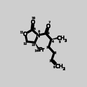 C=CCC[C@@H](C)C(=O)N1C(=O)OC[C@H]1C(C)C